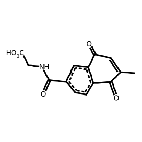 CC1=CC(=O)c2cc(C(=O)NCC(=O)O)ccc2C1=O